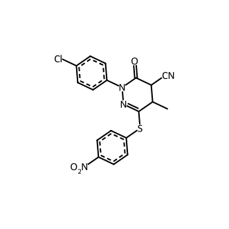 CC1C(Sc2ccc([N+](=O)[O-])cc2)=NN(c2ccc(Cl)cc2)C(=O)C1C#N